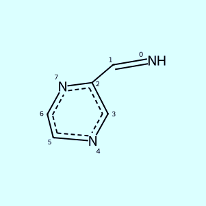 N=Cc1cnccn1